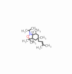 CC(C)=CC[C@@]1(C)C[C@@H]2[C@@H]([C@@H](C)C1)N(C(C)C)OC2(C)C